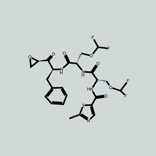 Cc1ncc(C(=O)N[C@@H](COC(F)F)C(=O)N[C@@H](COC(F)F)C(=O)N[C@@H](Cc2ccccc2)C(=O)[C@H]2CO2)s1